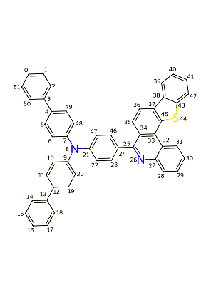 c1ccc(-c2ccc(N(c3ccc(-c4ccccc4)cc3)c3ccc(-c4nc5ccccc5c5c4ccc4c6ccccc6sc45)cc3)cc2)cc1